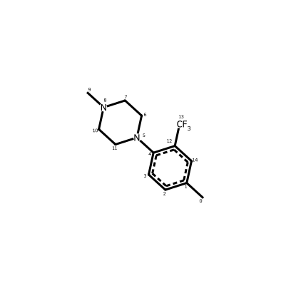 Cc1ccc(N2CCN(C)CC2)c(C(F)(F)F)c1